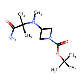 CN(C1CN(C(=O)OC(C)(C)C)C1)C(C)(C)C(N)=O